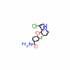 NC(=O)c1ccc(Oc2cccn3ncc(Cl)c23)c(F)c1